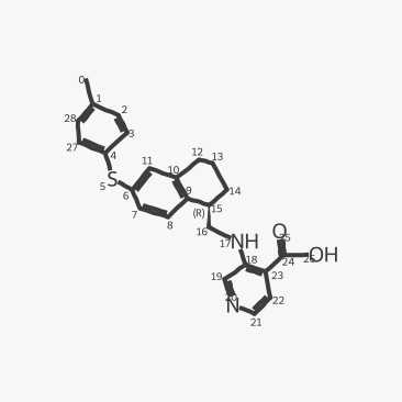 Cc1ccc(Sc2ccc3c(c2)CCC[C@H]3CNc2cnccc2C(=O)O)cc1